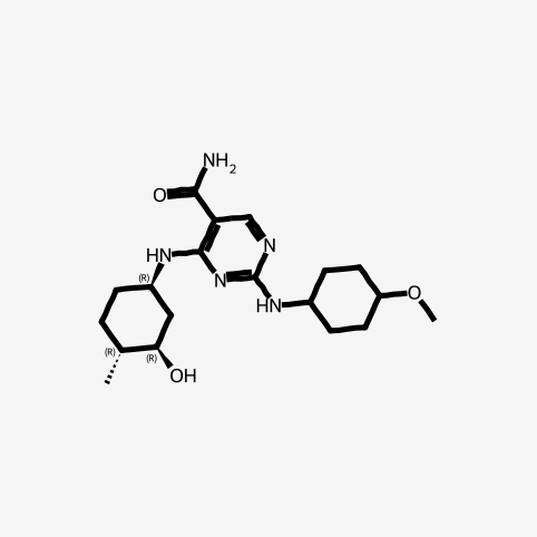 COC1CCC(Nc2ncc(C(N)=O)c(N[C@@H]3CC[C@@H](C)[C@H](O)C3)n2)CC1